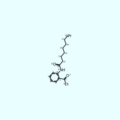 CCC(=O)c1ccccc1NC(=O)CCCCCCC(C)C